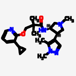 Cc1c([C@@H]2CN(C)C[C@H]2NC(=O)C(C)(C)COc2ncccc2C2CC2)cnn1C